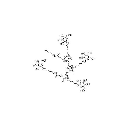 CCCCCCNC(=O)CCCC(=O)NC(CCC(=O)NC(CCC(=O)NC(CCC(=O)NCCCCCCO[C@H]1O[C@H](CO)[C@@H](O)[C@H](O)[C@@H]1O)C(=O)NCCCCCCO[C@H]1O[C@H](CO)[C@@H](O)[C@H](O)[C@@H]1O)C(=O)NCCCCCCO[C@H]1O[C@H](CO)[C@@H](O)[C@H](O)[C@@H]1O)C(=O)NCCCCCCO[C@H]1O[C@H](CO)[C@@H](O)[C@H](O)[C@@H]1O